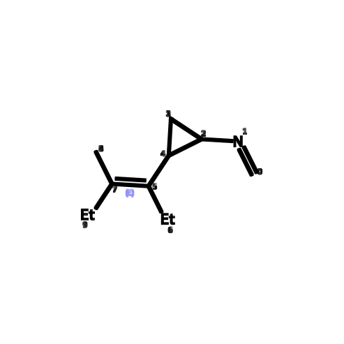 C=NC1CC1/C(CC)=C(\C)CC